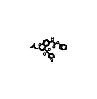 CN(C)C[C@H]1CN(S(=O)(=O)c2cnn(C)c2)c2cc(NC(=O)OC3CC4CCC3C4)ccc2O1